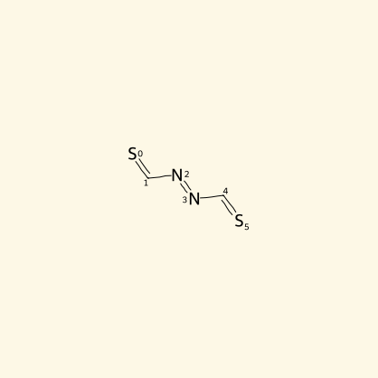 S=CN=NC=S